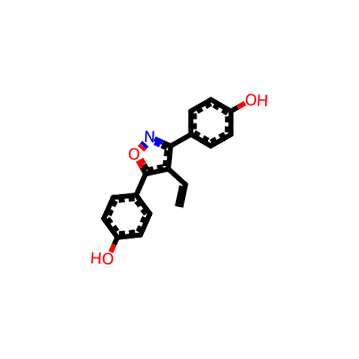 C=Cc1c(-c2ccc(O)cc2)noc1-c1ccc(O)cc1